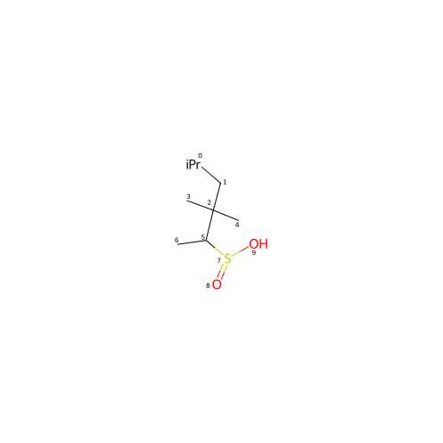 CC(C)CC(C)(C)C(C)S(=O)O